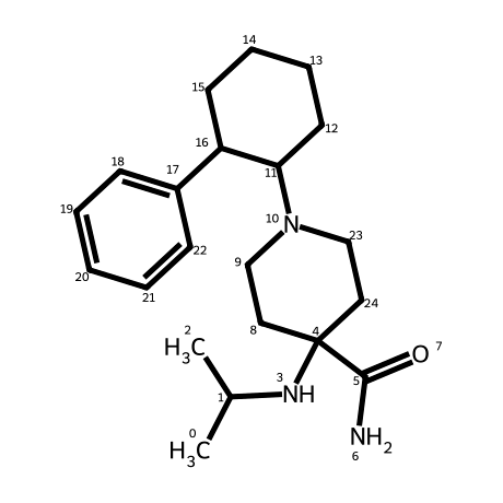 CC(C)NC1(C(N)=O)CCN(C2CCCCC2c2ccccc2)CC1